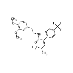 COc1ccc(CCNC(=O)/C(=C\C(C)C)c2ccc(C(F)(F)F)cn2)cc1OC